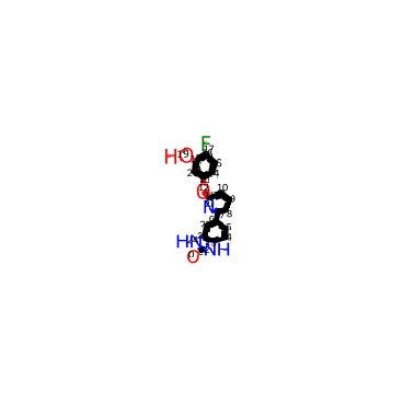 O=c1[nH]c2ccc(-c3cccc(Oc4ccc(F)c(O)c4)n3)cc2[nH]1